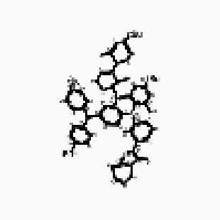 CC1=CC(C(C)(C)C)=CCC1C1=CCCC(N2c3cc(C(c4ccc(C(C)(C)C)cc4)c4ccc(C(C)(C)C)cc4)ccc3B(c3cccc(C4=C(C)C5CC=CC=C5S4)c3C)c3c(C)cc(C(C)(C)C)cc32)C1C